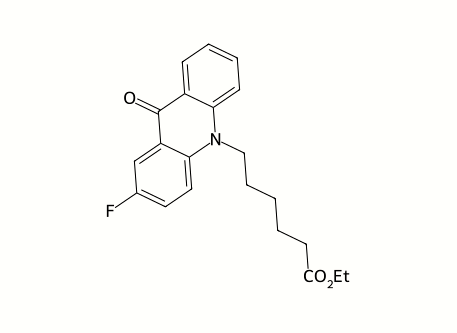 CCOC(=O)CCCCCn1c2ccccc2c(=O)c2cc(F)ccc21